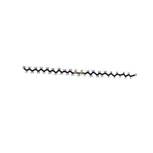 CCCCCCCCCCCCCCCCCCSCSCCCCCCCCCCCCCCCCCC